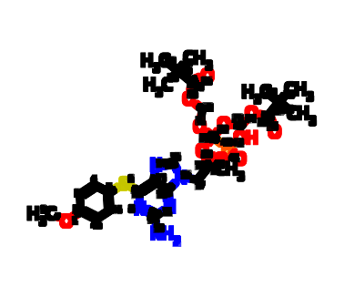 COc1ccc(Sc2nc(N)nc3c2ncn3CC(C)OC(OCOC(=O)C(C)(C)C)(OCOC(=O)C(C)(C)C)P(=O)(O)O)cc1